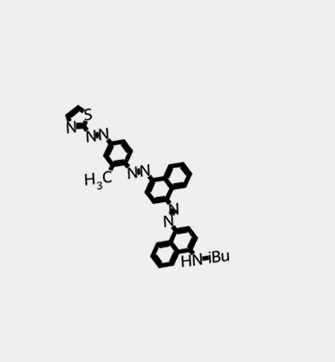 CCC(C)Nc1ccc(/N=N/c2ccc(/N=N/c3ccc(/N=N/c4nccs4)cc3C)c3ccccc23)c2ccccc12